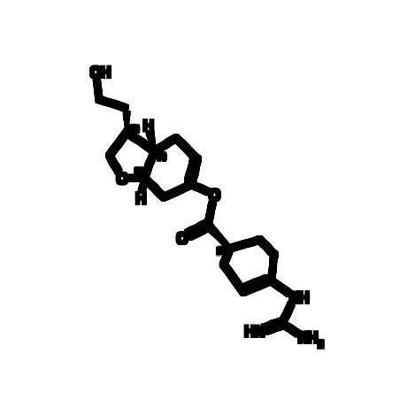 N=C(N)NC1=CC[C@@H](C(=O)OC2=CC[C@H]3[C@@H](CCO)CO[C@H]3C2)CC1